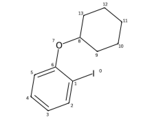 Ic1ccccc1OC1CCCCC1